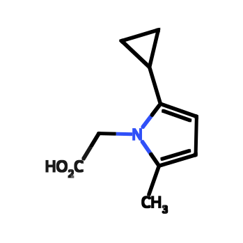 Cc1ccc(C2CC2)n1CC(=O)O